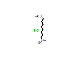 CCCCCCCCCCCCCCCCN(C)CC.Cl